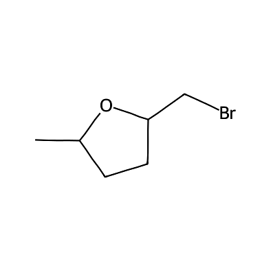 CC1CCC(CBr)O1